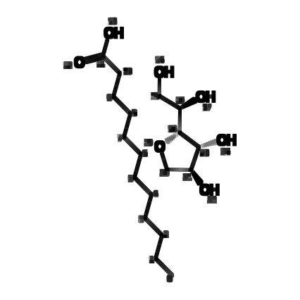 CCCCCCCCCCCC(=O)O.OC[C@@H](O)[C@H]1OC[C@H](O)[C@H]1O